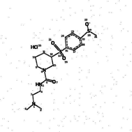 CN(C)CCNC(=O)N1CCCC(S(=O)(=O)c2ccc([S+](C)[O-])cc2)C1.Cl